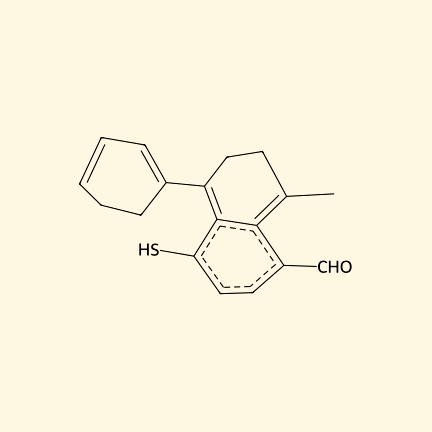 CC1=c2c(C=O)ccc(S)c2=C(C2=CC=CCC2)CC1